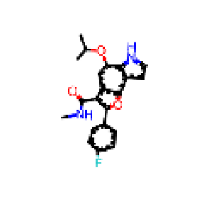 CNC(=O)c1c(-c2ccc(F)cc2)oc2c1cc(OC(C)C)c1[nH]ccc12